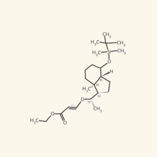 CCOC(=O)/C=C/O[C@@H](C)[C@H]1CC[C@H]2C(O[Si](C)(C)C(C)(C)C)CCC[C@]12C